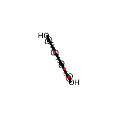 O=C(CCSCSCCCOOCCSCSCCOC(=O)CCSCSCCC(=O)OCCO)OCCO